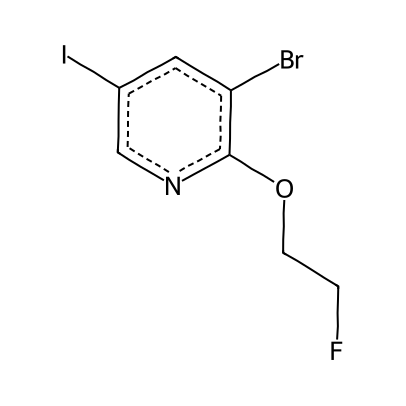 FCCOc1ncc(I)cc1Br